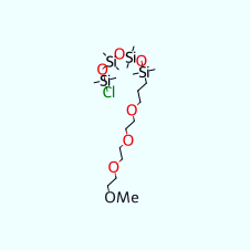 COCCOCCOCCOCCC[Si](C)(C)O[Si](C)(C)O[Si](C)(C)O[Si](C)(C)Cl